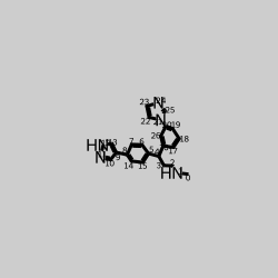 CNCCC(c1ccc(-c2cn[nH]c2)cc1)c1cccc(-n2ccnc2)c1